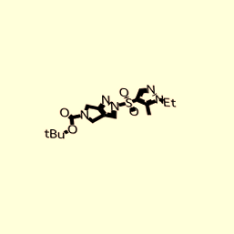 CCn1ncc(S(=O)(=O)n2cc3c(n2)CN(C(=O)OC(C)(C)C)C3)c1C